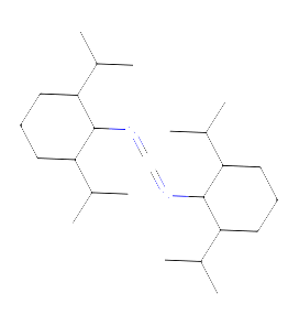 CC(C)C1CCCC(C(C)C)C1N=C=NC1C(C(C)C)CCCC1C(C)C